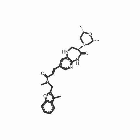 Cc1c(CN(C)C(=O)/C=C/c2cnc3c(c2)NC[C@@H](N2C[C@@H](C)O[C@@H](C)C2)C(=O)N3)oc2ccccc12